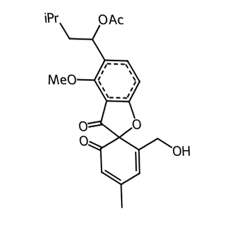 COc1c(C(CC(C)C)OC(C)=O)ccc2c1C(=O)C1(O2)C(=O)C=C(C)C=C1CO